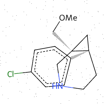 COC[C@@]12CNCC[C@]1(c1ccc(Cl)cc1)C2